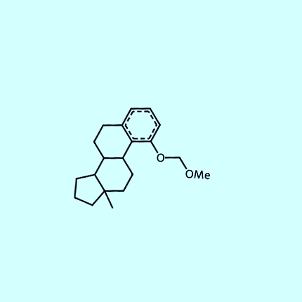 COCOc1cccc2c1C1CCC3(C)CCCC3C1CC2